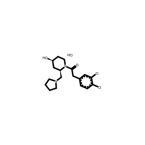 Cl.O=C(Cc1ccc(Cl)c(Cl)c1)N1CC[C@H](O)C[C@@H]1CN1CCCC1